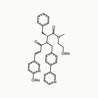 COCCN(C)C(=O)[C@H](Cc1ccccc1)N(Cc1ccc(-c2cccnc2)cc1)C(=O)C=Cc1ccc(OC)nc1